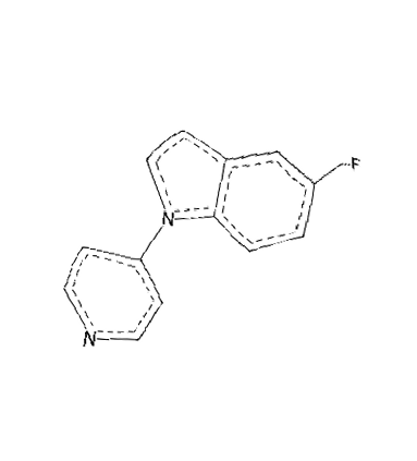 Fc1ccc2c(ccn2-c2ccncc2)c1